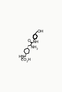 NC(C[C@H]1CC[C@H](CNC(=O)O)CC1)C(=O)Nc1ccc(CO)cc1